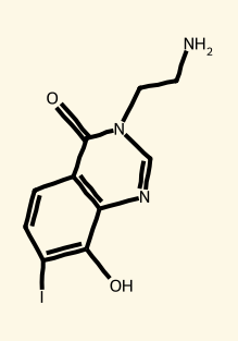 NCCn1cnc2c(O)c(I)ccc2c1=O